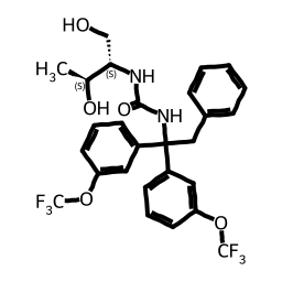 C[C@H](O)[C@H](CO)NC(=O)NC(Cc1ccccc1)(c1cccc(OC(F)(F)F)c1)c1cccc(OC(F)(F)F)c1